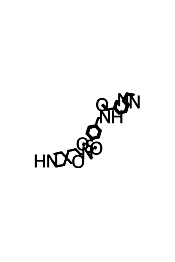 CN(C1CCC2(CCNCC2)CO1)S(=O)(=O)c1ccc(CNC(=O)c2ccc3nccn3c2)cc1